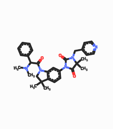 CN(C)C(C(=O)N1CC(C)(C)c2ccc(N3C(=O)N(Cc4ccncc4)C(C)(C)C3=O)cc21)c1ccccc1